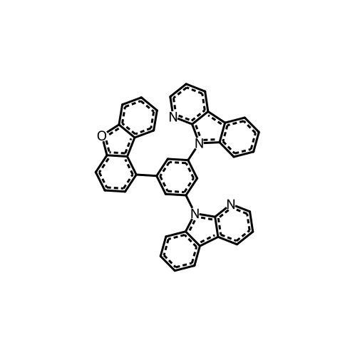 c1ccc2c(c1)oc1cccc(-c3cc(-n4c5ccccc5c5cccnc54)cc(-n4c5ccccc5c5cccnc54)c3)c12